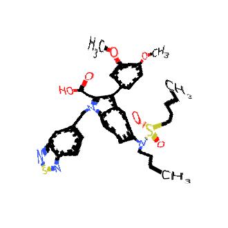 CCCCN(c1ccc2c(c1)c(-c1ccc(OC)c(OC)c1)c(C(=O)O)n2Cc1ccc2nsnc2c1)S(=O)(=O)CCCC